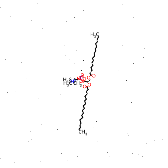 CCCCCCCCCCCCCCCCCCCC(=O)O[C@H](COC(=O)CCCCCCCCCCCCCCCCC)COP(=O)(O)OCC[N+](C)(C)C